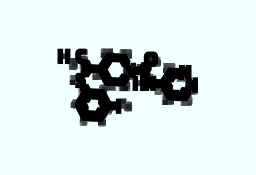 CC(Sc1cccc(F)c1)C1CCN(C(=O)Nc2ccnnc2)CC1